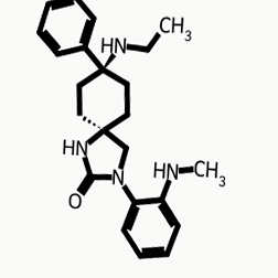 CCN[C@]1(c2ccccc2)CC[C@]2(CC1)CN(c1ccccc1NC)C(=O)N2